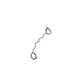 [CH](CCCc1cccnc1)CCCc1cccnc1